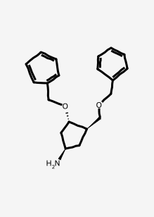 N[C@@H]1C[C@H](COCc2ccccc2)[C@@H](OCc2ccccc2)C1